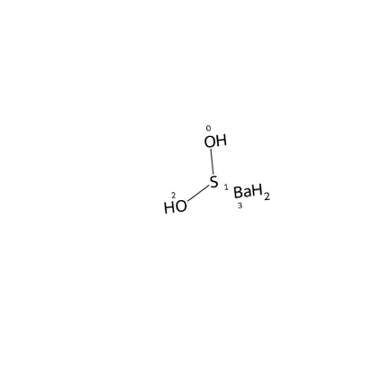 OSO.[BaH2]